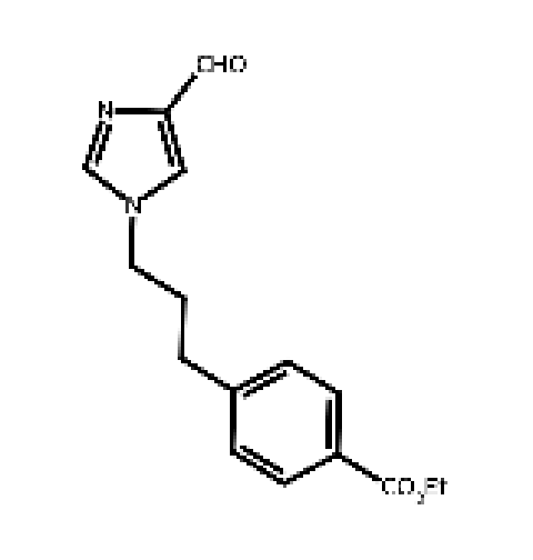 CCOC(=O)c1ccc(CCCn2cnc(C=O)c2)cc1